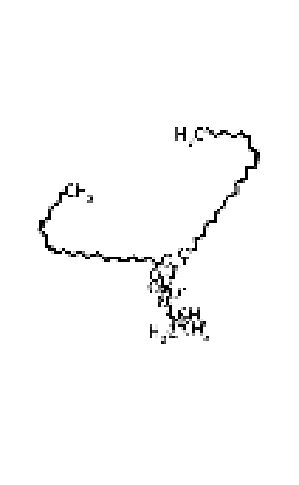 CCCCC/C=C\C/C=C\CCCCCCCCCCCCOC[C@H](COP(=O)([O-])OCC[N+](C)(C)C)OC(=O)CCCCCCCCCCC/C=C\C/C=C\CCCCC